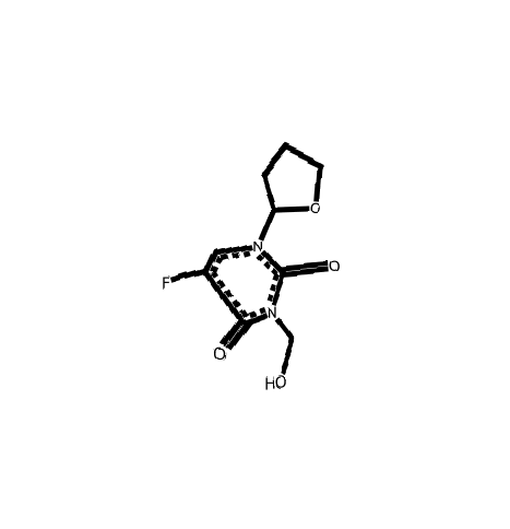 O=c1c(F)cn(C2CCCO2)c(=O)n1CO